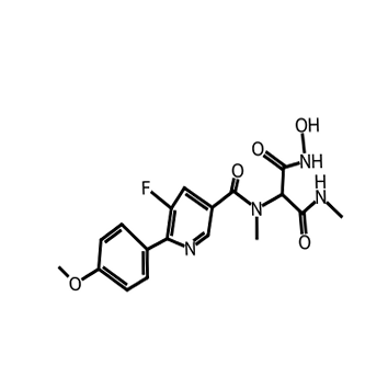 CNC(=O)C(C(=O)NO)N(C)C(=O)c1cnc(-c2ccc(OC)cc2)c(F)c1